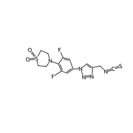 O=S1(=O)CCN(c2c(F)cc(-n3cc(CN=C=S)nn3)cc2F)CC1